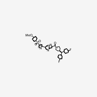 COc1ccc(S(=O)(=O)n2cc(-c3cnc4cc(C(=O)N5CCC(=C(c6ccc(F)cc6)c6ccc(F)cc6)CC5)nn4c3)nn2)cc1